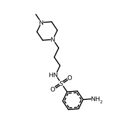 CN1CCN(CCCNS(=O)(=O)c2cccc(N)c2)CC1